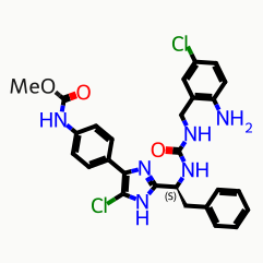 COC(=O)Nc1ccc(-c2nc([C@H](Cc3ccccc3)NC(=O)NCc3cc(Cl)ccc3N)[nH]c2Cl)cc1